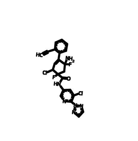 C#Cc1ccccc1C1=CC(Cl)C(F)(C(=O)Nc2cnc(-n3nccn3)c(Cl)c2)CC1(N)F